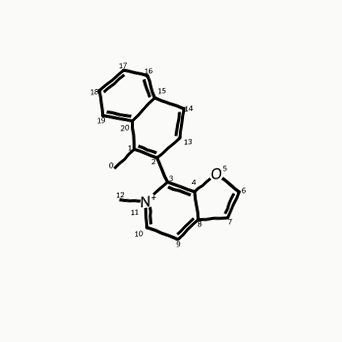 Cc1c(-c2c3occc3cc[n+]2C)ccc2ccccc12